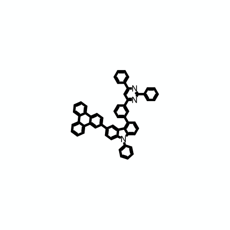 c1ccc(-c2cc(-c3cccc(-c4cccc5c4c4cc(-c6ccc7c8ccccc8c8ccccc8c7c6)ccc4n5-c4ccccc4)c3)nc(-c3ccccc3)n2)cc1